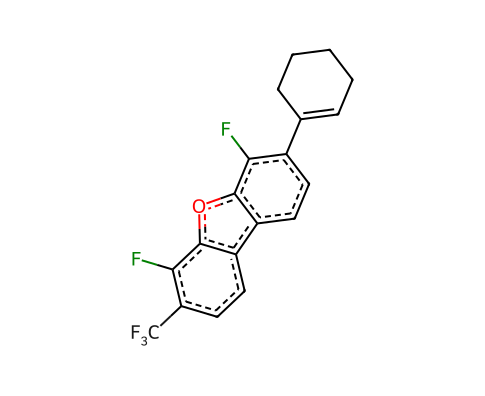 Fc1c(C2=CCCCC2)ccc2c1oc1c(F)c(C(F)(F)F)ccc12